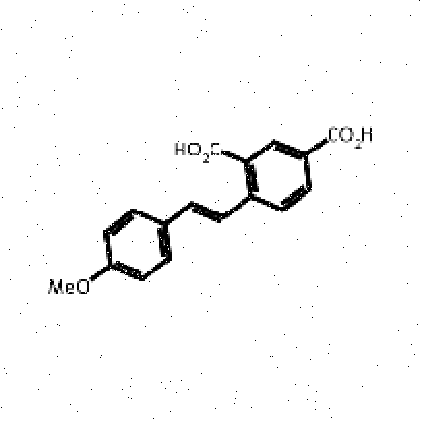 COc1ccc(C=Cc2ccc(C(=O)O)cc2C(=O)O)cc1